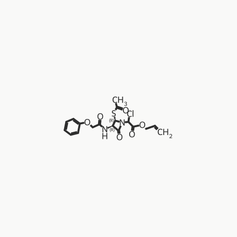 C=CCOC(=O)C(Cl)N1C(=O)[C@@H](NC(=O)COc2ccccc2)[C@H]1SC(C)=O